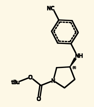 CC(C)(C)OC(=O)N1CC[C@H](Nc2ccc(C#N)cc2)C1